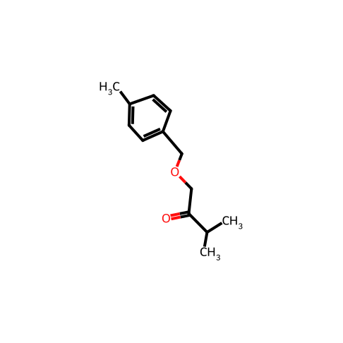 Cc1ccc(COCC(=O)C(C)C)cc1